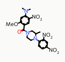 COc1cc(N(C)C)c([N+](=O)[O-])cc1C(=O)N1CCN(c2ccc([N+](=O)[O-])cc2[N+](=O)[O-])C(C)C1